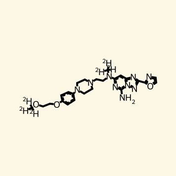 [2H]C([2H])([2H])OCCOc1ccc(N2CCN(CCN(c3cc4nc(-c5ncco5)nn4c(N)n3)C([2H])([2H])[2H])CC2)cc1